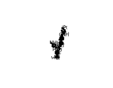 Cc1cc(C(=O)NC2CCN(C(C)C)CC2)ccc1-c1ccc(C[C@H](NC(=O)[C@H]2CC[C@H](CN)CC2)C(=O)Nc2ccc(-c3nn[nH]n3)c(F)c2)cc1.Cl